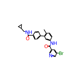 Cc1ccc(NC(=O)c2cncc(Br)c2)cc1-c1ccc(C(=O)NCC2CC2)cc1